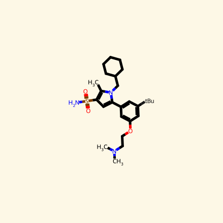 Cc1c(S(N)(=O)=O)cc(-c2cc(OCCN(C)C)cc(C(C)(C)C)c2)n1CC1CCCCC1